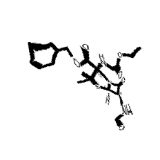 CCOC(=O)N[C@@]1(C(=O)OCc2ccccc2)N2C(=O)[C@@H](NC=O)[C@H]2SC1(C)C